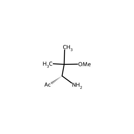 COC(C)(C)[C@H](N)C(C)=O